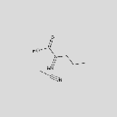 CC#N.CCCC(=N)C(=O)O